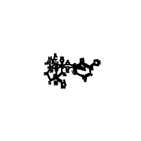 C[C@@H]1C(Oc2cncc(Cl)n2)C[C@@H]2CC[C@H]1N2C(=O)OC(C)(C)C